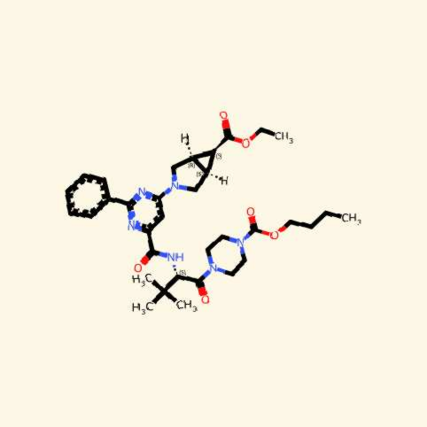 CCCCOC(=O)N1CCN(C(=O)[C@@H](NC(=O)c2cc(N3C[C@@H]4[C@H](C3)[C@@H]4C(=O)OCC)nc(-c3ccccc3)n2)C(C)(C)C)CC1